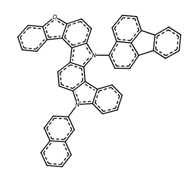 c1ccc2c(c1)-c1cccc3c(-n4c5ccc6oc7ccccc7c6c5c5ccc6c(c7ccccc7n6-c6ccc7ccccc7c6)c54)ccc-2c13